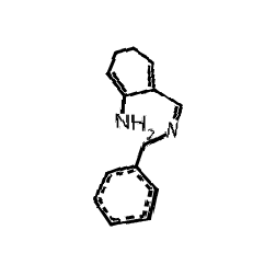 NC1=CCCC=C1/C=N\Cc1ccccc1